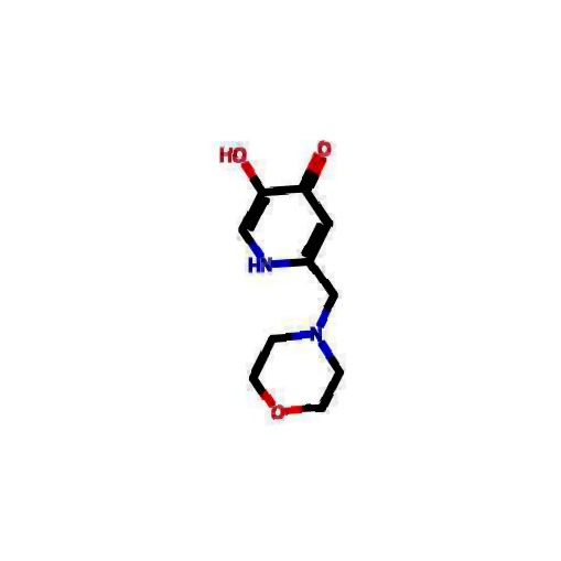 O=c1cc(CN2CCOCC2)[nH]cc1O